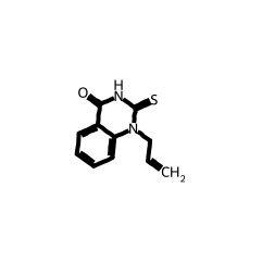 C=CCn1c(=S)[nH]c(=O)c2ccccc21